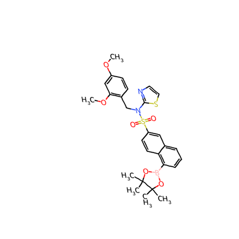 COc1ccc(CN(c2nccs2)S(=O)(=O)c2ccc3c(B4OC(C)(C)C(C)(C)O4)cccc3c2)c(OC)c1